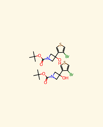 CC(C)(C)OC(=O)N1CC(O)(c2cscc2Br)C1.CC(C)(C)OC(=O)N1CC(O)(c2cscc2Br)C1